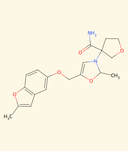 Cc1cc2cc(OCC3=CN(C4(C(N)=O)CCOC4)C(C)O3)ccc2o1